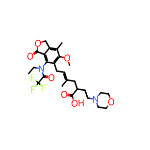 CCN(C(=O)C(F)(F)F)c1c(C/C=C(\C)CC(CCN2CCOCC2)C(=O)O)c(OC)c(C)c2c1C(=O)OC2